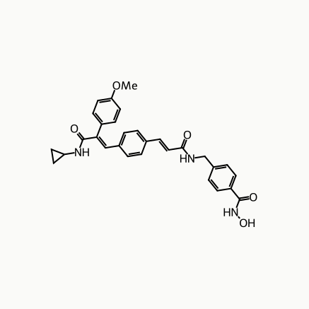 COc1ccc(/C(=C\c2ccc(C=CC(=O)NCc3ccc(C(=O)NO)cc3)cc2)C(=O)NC2CC2)cc1